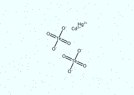 O=[Te](=O)([O-])[O-].O=[Te](=O)([O-])[O-].[Cd+2].[Hg+2]